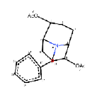 CC(=O)OC1CCC2C(OC(C)=O)CCC1N2Cc1ccccc1